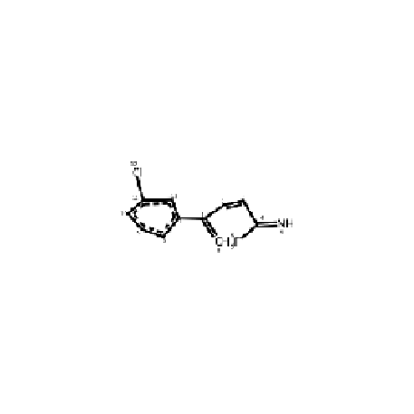 C=C(/C=C\C(=N)F)c1cccc(Cl)c1